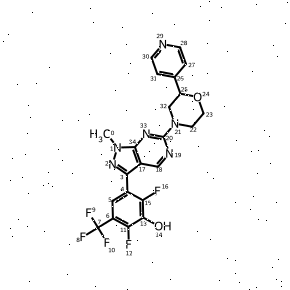 Cn1nc(-c2cc(C(F)(F)F)c(F)c(O)c2F)c2cnc(N3CCOC(c4ccncc4)C3)nc21